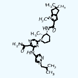 CC(C)Cn1cc(Nc2nc(N3CCC[C@@H](NC(=O)c4cc5c(n4C)CC(C)(C)C5)[C@H]3C)cnc2C(N)=O)cn1